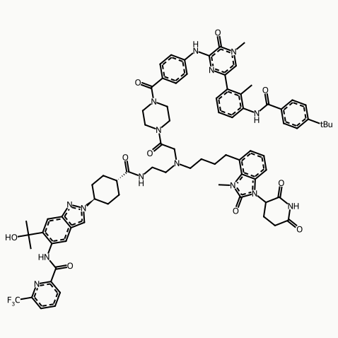 Cc1c(NC(=O)c2ccc(C(C)(C)C)cc2)cccc1-c1cn(C)c(=O)c(Nc2ccc(C(=O)N3CCN(C(=O)CN(CCCCc4cccc5c4n(C)c(=O)n5C4CCC(=O)NC4=O)CCNC(=O)[C@H]4CC[C@H](n5cc6cc(NC(=O)c7cccc(C(F)(F)F)n7)c(C(C)(C)O)cc6n5)CC4)CC3)cc2)n1